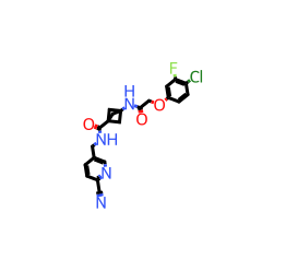 N#Cc1ccc(CNC(=O)C23CC(NC(=O)COc4ccc(Cl)c(F)c4)(C2)C3)cn1